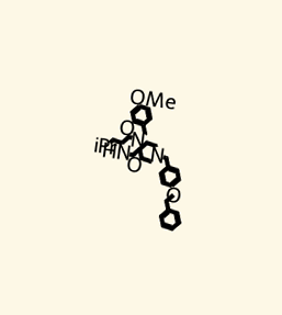 COc1ccc(CN2C(=O)C(CC(C)C)NC(=O)C23CCN(Cc2ccc(OCc4ccccc4)cc2)CC3)cc1